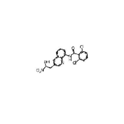 O=C(Nc1cccc2cc(CC(O)[N+](=O)[O-])cnc12)c1c(Cl)cccc1Cl